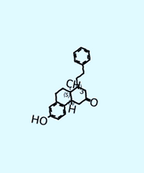 C[C@@]12CCc3cc(O)ccc3[C@H]1CC(=O)C[C@@H]2CCc1ccccc1